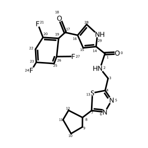 O=C(NCc1nnc(C2CCCC2)s1)c1cc(C(=O)c2c(F)cc(F)cc2F)c[nH]1